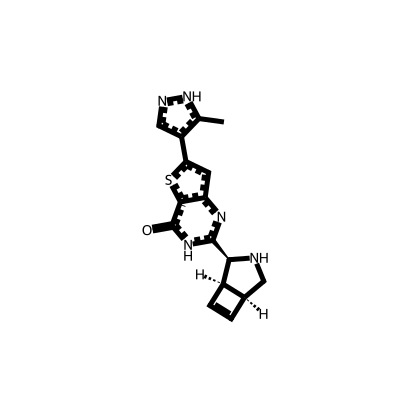 Cc1[nH]ncc1-c1cc2nc([C@H]3NC[C@H]4C=C[C@H]43)[nH]c(=O)c2s1